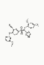 COc1cccc(Sc2ccc(S(=O)(=O)N(Cc3ccc(OC)cc3OC)c3ncns3)cc2C#N)c1